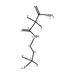 C=C(N)C(C)(C)C(=C)NCCC(C)(C)F